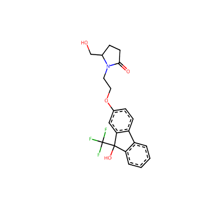 O=C1CCC(CO)N1CCOc1ccc2c(c1)C(O)(C(F)(F)F)c1ccccc1-2